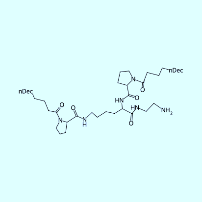 CCCCCCCCCCCCCC(=O)N1CCCC1C(=O)NCCCCC(NC(=O)C1CCCN1C(=O)CCCCCCCCCCCCC)C(=O)NCCN